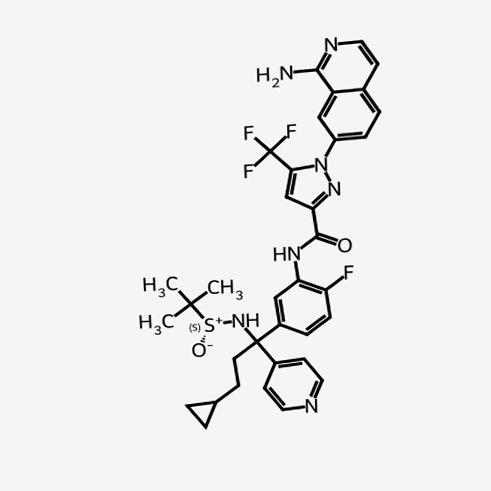 CC(C)(C)[S@@+]([O-])NC(CCC1CC1)(c1ccncc1)c1ccc(F)c(NC(=O)c2cc(C(F)(F)F)n(-c3ccc4ccnc(N)c4c3)n2)c1